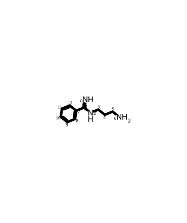 N=C(NCCCN)c1ccccc1